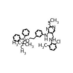 CSc1ncc(CNc2c(C)cccc2Cl)c(Nc2cccc(CCO[Si](c3ccccc3)(c3ccccc3)C(C)(C)C)c2)n1